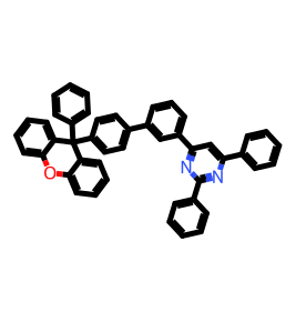 c1ccc(-c2cc(-c3cccc(-c4ccc(C5(c6ccccc6)c6ccccc6Oc6ccccc65)cc4)c3)nc(-c3ccccc3)n2)cc1